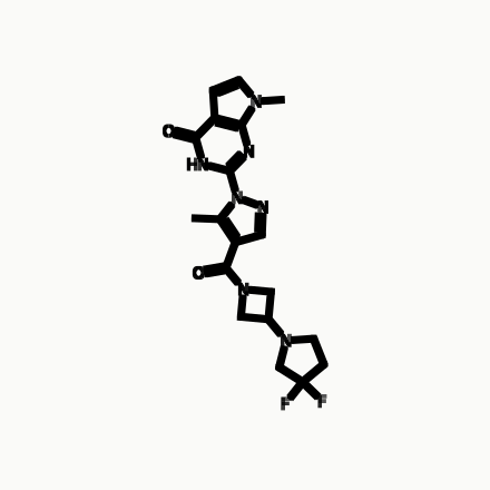 Cc1c(C(=O)N2CC(N3CCC(F)(F)C3)C2)cnn1-c1nc2c(ccn2C)c(=O)[nH]1